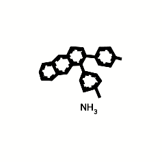 Cc1ccc(-c2ccc3cc4ccccc4cc3c2-c2ccc(C)cc2)cc1.N